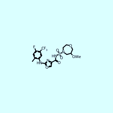 COC1COCCN(S(=O)(=O)NC(=O)c2coc(Nc3cc(C(F)(F)F)c(F)cc3C)n2)C1